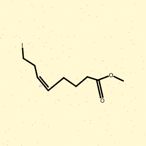 COC(=O)CCC/C=C\CCI